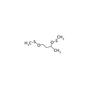 CSOCCC(C)OSC